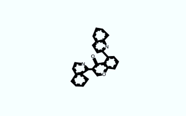 O=c1c(-c2nccc3ccccc23)[c]oc2cccc(-c3ccc4ccccc4n3)c12